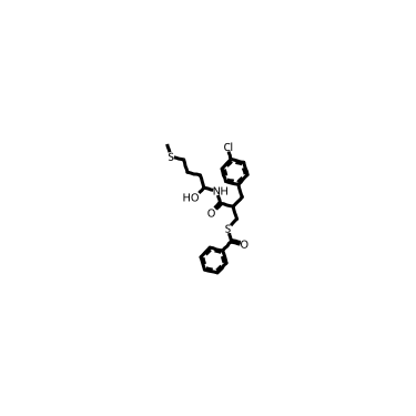 CSCCCC(O)NC(=O)C(CSC(=O)c1ccccc1)Cc1ccc(Cl)cc1